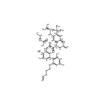 C=CCCCCc1cc(C)cc(C)c1-c1cc(C)c(F)c([C@H](CC(=O)OCC)NC(=O)[C@H](CC=C)n2cc(CCN(C)C)c(C(F)(F)F)cc2=O)c1